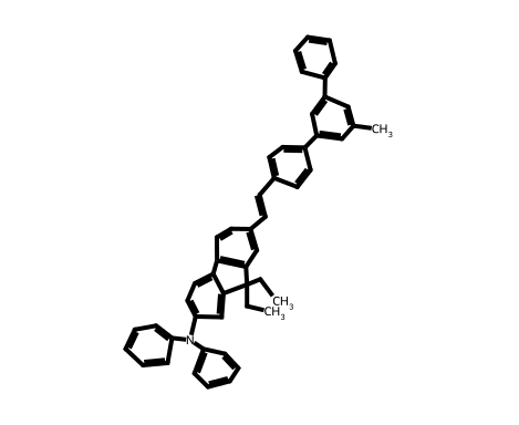 CCC1(CC)c2cc(/C=C/c3ccc(-c4cc(C)cc(-c5ccccc5)c4)cc3)ccc2-c2ccc(N(c3ccccc3)c3ccccc3)cc21